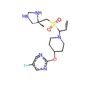 C=CC(N1CCC(Oc2ncc(F)cn2)CC1)S(=O)(=O)C[C@]1(C)CNCN1